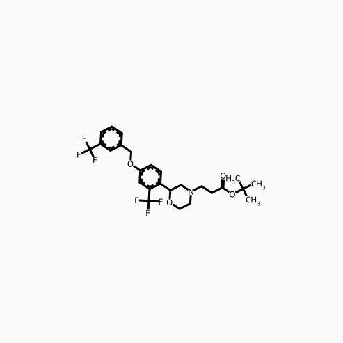 CC(C)(C)OC(=O)CCN1CCOC(c2ccc(OCc3cccc(C(F)(F)F)c3)cc2C(F)(F)F)C1